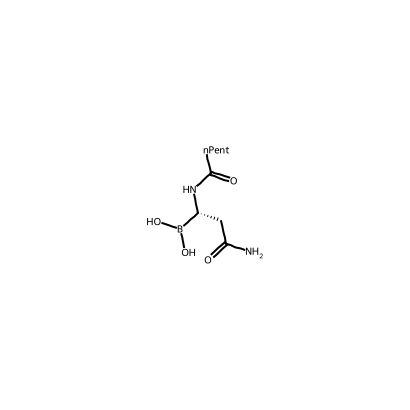 CCCCCC(=O)N[C@H](CC(N)=O)B(O)O